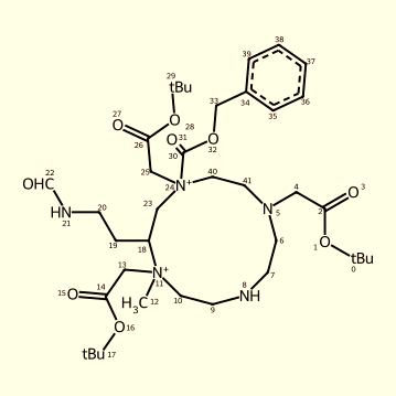 CC(C)(C)OC(=O)CN1CCNCC[N+](C)(CC(=O)OC(C)(C)C)C(CCNC=O)C[N+](CC(=O)OC(C)(C)C)(C(=O)OCc2ccccc2)CC1